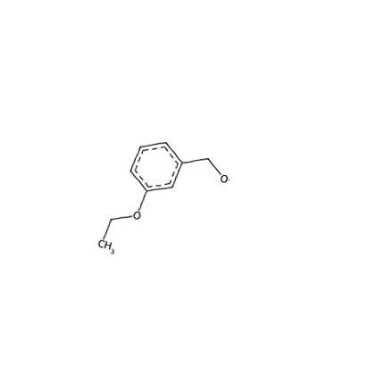 CCOc1cccc(C[O])c1